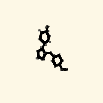 COc1ccc(Cn2nncc2-c2ccc(Br)nc2)cc1